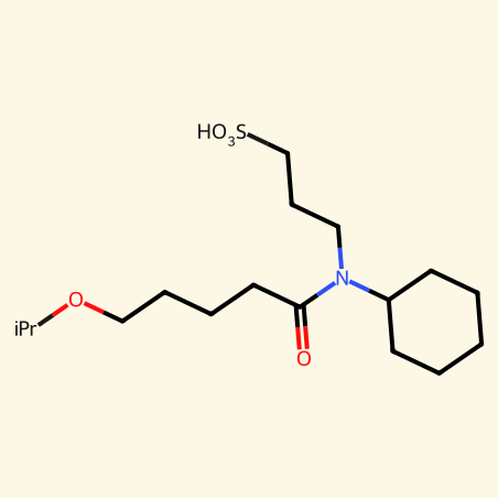 CC(C)OCCCCC(=O)N(CCCS(=O)(=O)O)C1CCCCC1